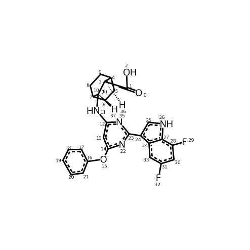 O=C(O)[C@@H]1C2CCC(CC2)[C@H]1Nc1cc(Oc2ccccc2)nc(-c2c[nH]c3c(F)cc(F)cc23)n1